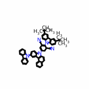 CC(C)(C)c1ccc2c(c1)c1cc(C(C)(C)C)ccc1n2C1=C(C#N)C=C(n2c3ccc(-n4c5ccccc5c5ccccc54)cc3c3c4ccccc4ccc32)CC1C#N